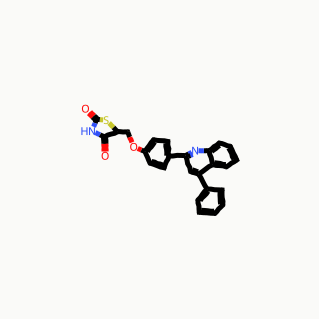 O=C1NC(=O)C(COc2ccc(-c3cc(-c4ccccc4)c4ccccc4n3)cc2)S1